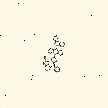 CCc1nc2cccc3c2n1-c1cc(-c2c4ccccc4c(-c4cc5ccccc5c5ccccc45)c4ccccc24)ccc1N3c1ccccc1